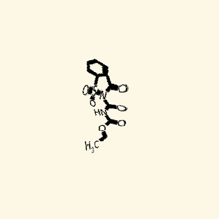 CCOC(=O)NC(=O)N1C(=O)c2ccccc2S1(=O)=O